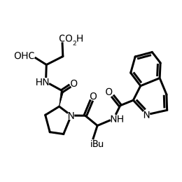 CCC(C)C(NC(=O)c1nccc2ccccc12)C(=O)N1CCC[C@H]1C(=O)NC(C=O)CC(=O)O